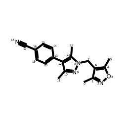 Cc1noc(C)c1Cn1nc(C)c(-c2ccc(C#N)cc2)c1C